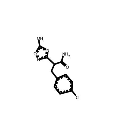 NC(=O)C(Cc1ccc(Cl)cc1)c1noc(O)n1